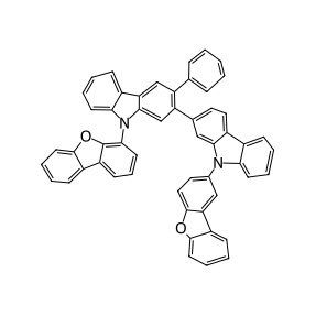 c1ccc(-c2cc3c4ccccc4n(-c4cccc5c4oc4ccccc45)c3cc2-c2ccc3c4ccccc4n(-c4ccc5oc6ccccc6c5c4)c3c2)cc1